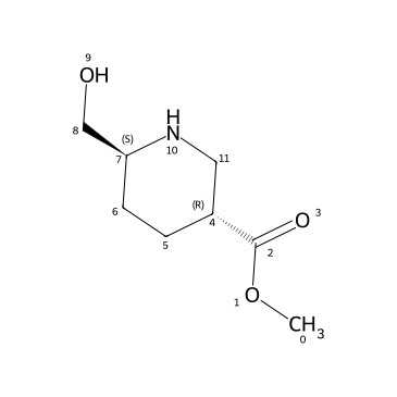 COC(=O)[C@@H]1CC[C@@H](CO)NC1